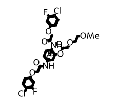 COCCOCC(=O)OC1CC2(NC(=O)COc3ccc(Cl)c(F)c3)CCC1(NC(=O)COc1ccc(Cl)c(F)c1)CC2